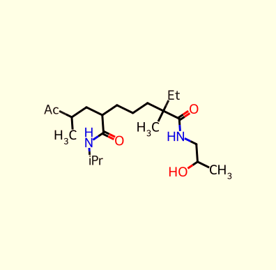 CCC(C)(CCCC(CC(C)C(C)=O)C(=O)NC(C)C)C(=O)NCC(C)O